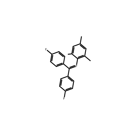 Cc1cc(C)c(P=C(c2ccc(F)cc2)c2ccc(F)cc2)c(C)c1